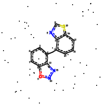 [c]1nc2c(-c3cccc4onnc34)cccc2s1